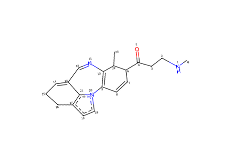 CNCCC(=O)C1C=CC2=C(N=CC3=CCCc4ccn2c43)C1C